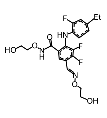 CCc1ccc(Nc2c(C(=O)NOCCO)cc(/C=N/OCCO)c(F)c2F)c(F)c1